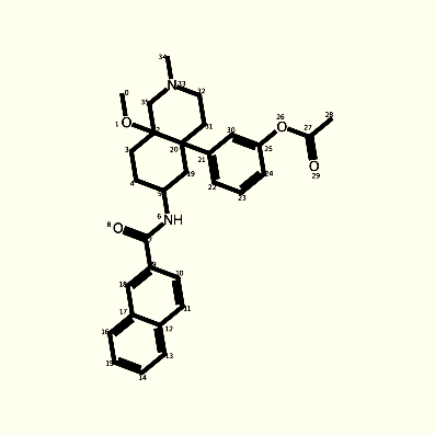 COC12CCC(NC(=O)c3ccc4ccccc4c3)CC1(c1cccc(OC(C)=O)c1)CCN(C)C2